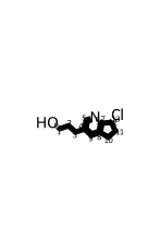 OCCCc1cnc2c(c1)CCC2Cl